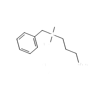 CCCCCCCCCCCC[N+](C)(C)Cc1ccccc1.[Cl-].[Cu+2]